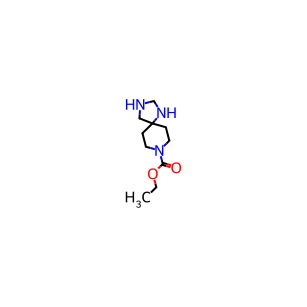 CCOC(=O)N1CCC2(CC1)CNCN2